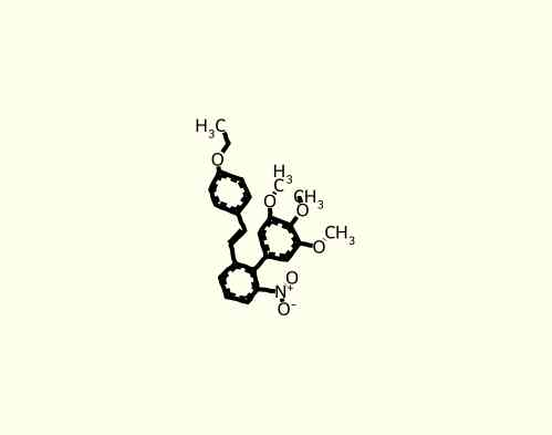 CCOc1ccc(C=Cc2cccc([N+](=O)[O-])c2-c2cc(OC)c(OC)c(OC)c2)cc1